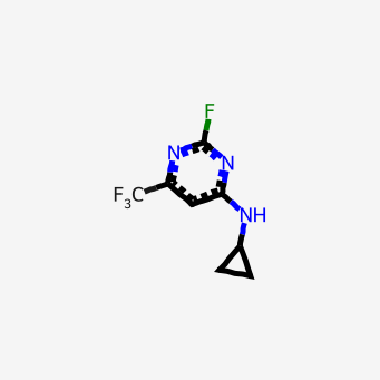 Fc1nc(NC2CC2)cc(C(F)(F)F)n1